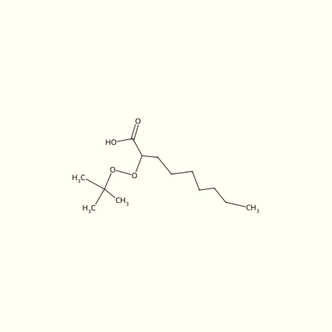 CCCCCCCC(OOC(C)(C)C)C(=O)O